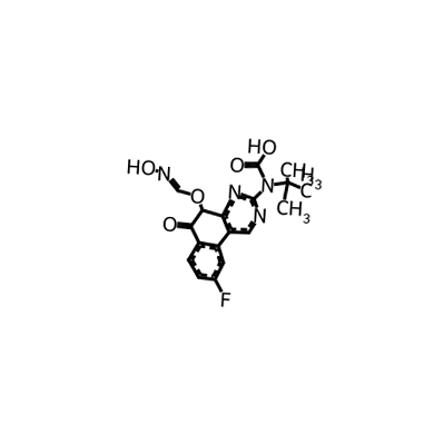 CC(C)(C)N(C(=O)O)c1ncc2c(n1)C(OC=NO)C(=O)c1ccc(F)cc1-2